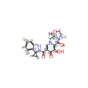 C[C@H]1CO[C@@H]2Cn3cc(C(=O)NC4(c5ccc(F)cc5F)CC4)c(=O)c(O)c3C(=O)N12